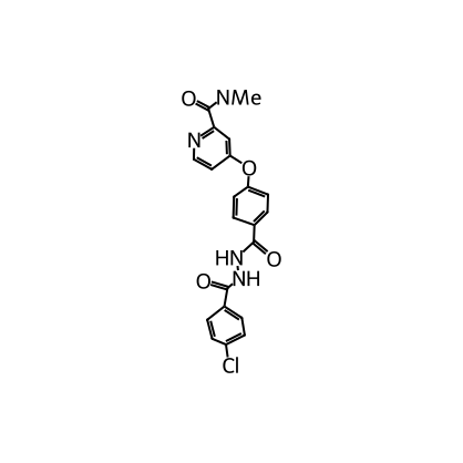 CNC(=O)c1cc(Oc2ccc(C(=O)NNC(=O)c3ccc(Cl)cc3)cc2)ccn1